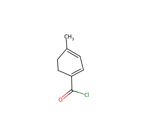 CC1=CC=C(C(=O)Cl)CC1